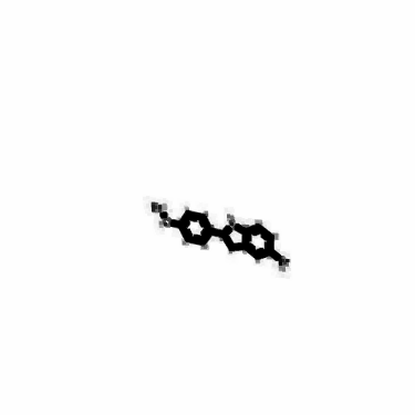 CCOc1ccc(C2Cc3cc(Br)ccc3S2)cc1